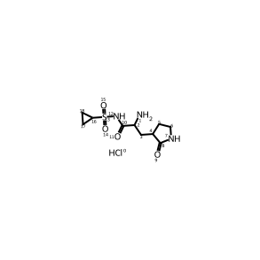 Cl.NC(CC1CCNC1=O)C(=O)NS(=O)(=O)C1CC1